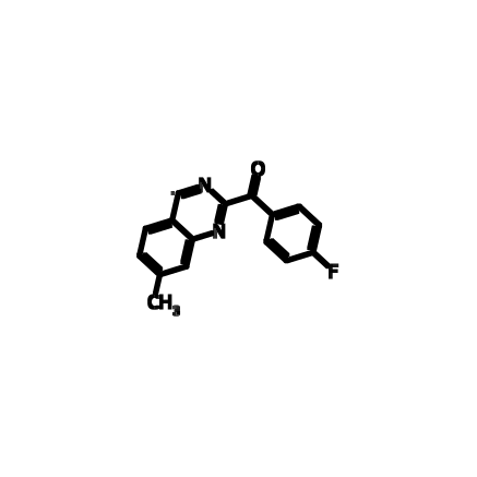 Cc1ccc2[c]nc(C(=O)c3ccc(F)cc3)nc2c1